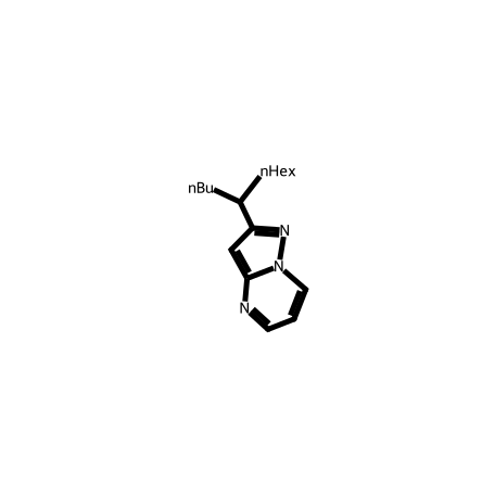 CCCCCCC(CCCC)c1cc2ncccn2n1